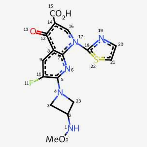 CONC1CN(c2nc3c(cc2F)c(=O)c(C(=O)O)cn3-c2nccs2)C1